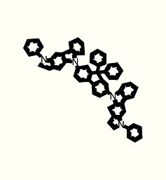 c1ccc(-n2ccc3cc4c(cc32)c2ccccc2n4-c2ccc3c(c2)C(c2ccccc2)(c2ccccc2)c2cc(-n4c5ccccc5c5cc6c(ccn6-c6ccccc6)cc54)ccc2-3)cc1